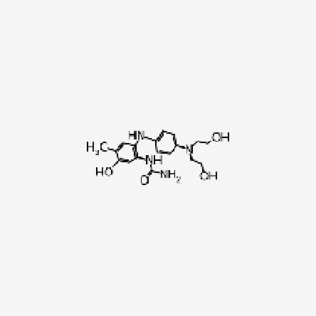 Cc1cc(Nc2ccc(N(CCO)CCO)cc2)c(NC(N)=O)cc1O